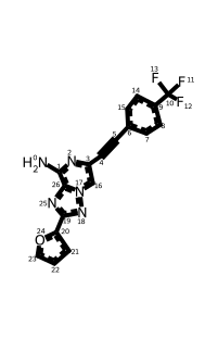 Nc1nc(C#Cc2ccc(C(F)(F)F)cc2)cn2nc(-c3ccco3)nc12